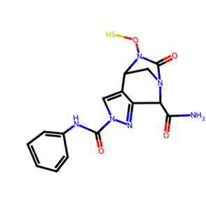 NC(=O)C1c2nn(C(=O)Nc3ccccc3)cc2C2CN1C(=O)N2OS